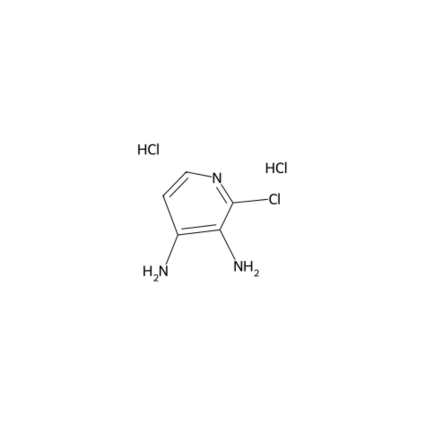 Cl.Cl.Nc1ccnc(Cl)c1N